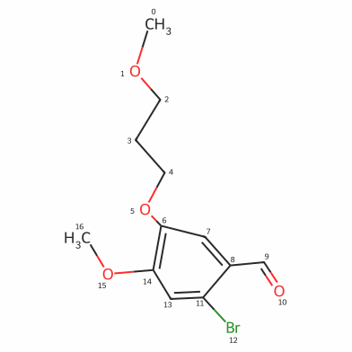 COCCCOc1cc(C=O)c(Br)cc1OC